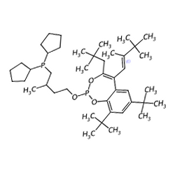 C/C(=C\c1c(CC(C)(C)C)op(OCCC(C)CP(C2CCCC2)C2CCCC2)oc2c(C(C)(C)C)cc(C(C)(C)C)cc12)C(C)(C)C